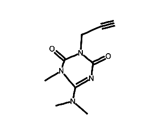 C#CCn1c(=O)nc(N(C)C)n(C)c1=O